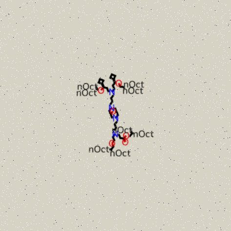 CCCCCCCCC(CCCCCCCC)COCCN(CCCCN1CC2CN(CCCCN(CCC(OCC(CCCCCCCC)CCCCCCCC)=C3CCC3)CCC(OC(CCCCCCCC)CCCCCCCC)=C3CCC3)CC(C1)O2)CCC(=O)OCC(CCCCCCCC)CCCCCCCC